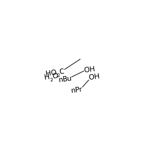 CC(=O)O.CCCCO.CCCO.O